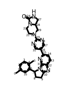 Cc1ccc(C)c(C2CCc3nc4ccc(-c5cnc(N6CCN7C(=O)NCC7C6)nc5)nc4n32)c1